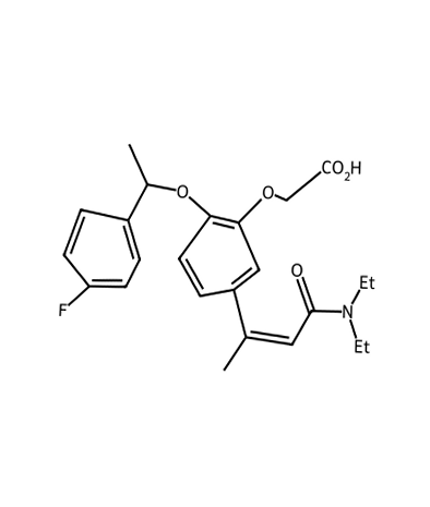 CCN(CC)C(=O)/C=C(/C)c1ccc(OC(C)c2ccc(F)cc2)c(OCC(=O)O)c1